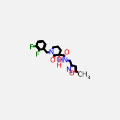 Cc1cc(CNC(=O)C2(O)CCCN(Cc3cccc(F)c3F)C2=O)no1